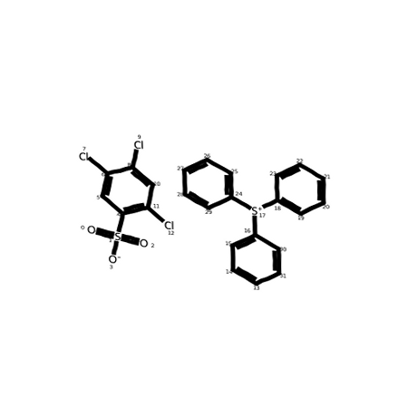 O=S(=O)([O-])c1cc(Cl)c(Cl)cc1Cl.c1ccc([S+](c2ccccc2)c2ccccc2)cc1